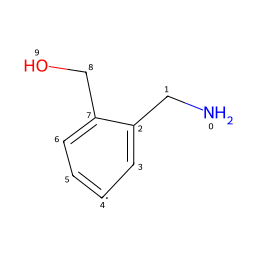 NCc1c[c]ccc1CO